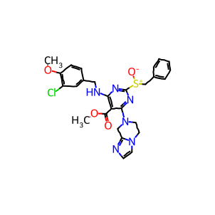 COC(=O)c1c(NCc2ccc(OC)c(Cl)c2)nc([S+]([O-])Cc2ccccc2)nc1N1CCn2ccnc2C1